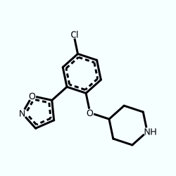 Clc1ccc(OC2CCNCC2)c(-c2ccno2)c1